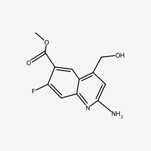 COC(=O)c1cc2c(CO)cc(N)nc2cc1F